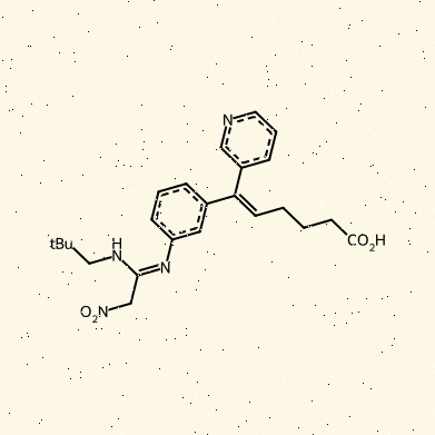 CC(C)(C)CNC(C[N+](=O)[O-])=Nc1cccc(C(=CCCCC(=O)O)c2cccnc2)c1